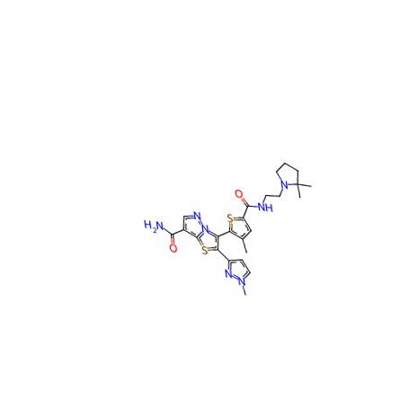 Cc1cc(C(=O)NCCN2CCCC2(C)C)sc1-c1c(-c2ccn(C)n2)sc2c(C(N)=O)cnn12